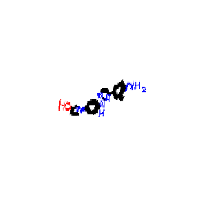 Cc1cc(-c2ccnc(Nc3ccc(N4CCC(O)C4)cc3)n2)ccc1N